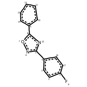 Fc1ccc(-c2noc(-c3ccccc3)n2)cc1